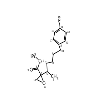 CC(C)OC(=O)C1(C(C)CCCCc2ccc(F)cc2)CO1